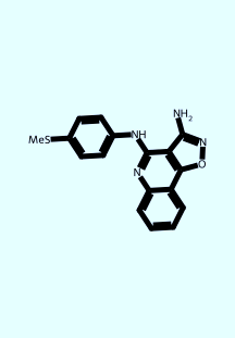 CSc1ccc(Nc2nc3ccccc3c3onc(N)c23)cc1